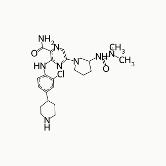 CN(C)C(=O)NC1CCCN(c2cnc(C(N)=O)c(Nc3ccc(C4CCNCC4)cc3Cl)n2)C1